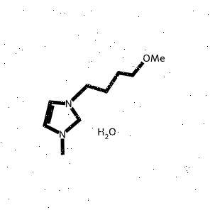 COCCCCN1C=CN(C)C1.O